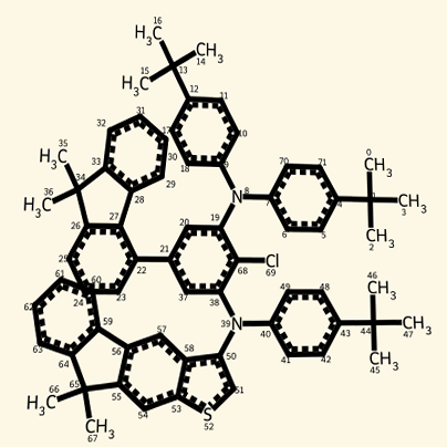 CC(C)(C)c1ccc(N(c2ccc(C(C)(C)C)cc2)c2cc(-c3cccc4c3-c3ccccc3C4(C)C)cc(N(c3ccc(C(C)(C)C)cc3)c3csc4cc5c(cc34)-c3ccccc3C5(C)C)c2Cl)cc1